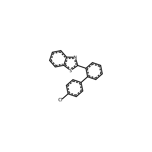 Clc1ccc(-c2ccccc2-c2nc3ccccc3s2)cc1